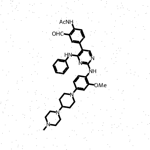 COc1cc(N2CCC(N3CCN(C)CC3)CC2)ccc1Nc1ncc(-c2ccc(NC(C)=O)c(C=O)c2)c(Nc2ccccc2)n1